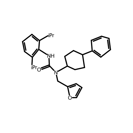 CC(C)c1cccc(C(C)C)c1NC(=O)N(Cc1ccco1)C1CCC(c2ccccc2)CC1